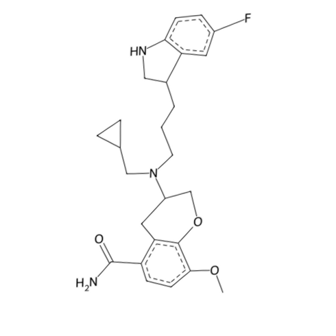 COc1ccc(C(N)=O)c2c1OCC(N(CCCC1CNc3ccc(F)cc31)CC1CC1)C2